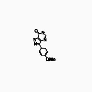 COc1ccc(-c2nsc3c2N=C[N]C3=O)cc1